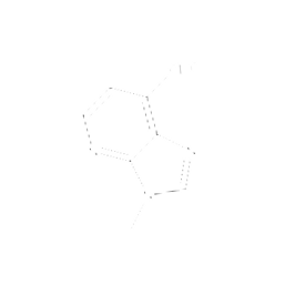 Cn1cnc2c(C=O)ccnc21